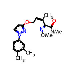 CNC(=O)C(=NOC)C(C)=CCOc1ccn(-c2ccc(C)c(C)c2)n1